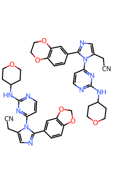 N#CCc1cnc(-c2ccc3c(c2)OCCO3)n1-c1ccnc(NC2CCOCC2)n1.N#CCc1cnc(-c2ccc3c(c2)OCO3)n1-c1ccnc(NC2CCOCC2)n1